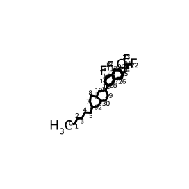 CCCCCCC1CCC2CC(c3cc(F)c4c(F)c(OC(F)(F)F)ccc4c3)CCC2C1